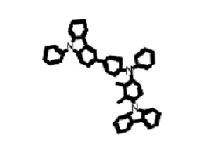 Cc1c(N(c2ccccc2)c2ccc(-c3ccc4c(c3)c3ccccc3n4-c3ccccc3)cc2)ccc(-n2c3ccccc3c3ccccc32)c1C